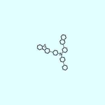 c1ccc(-c2ccc(N(c3ccc(-c4ccc5c(c4)sc4ccccc45)cc3)c3cccc(-c4ccc5ccccc5c4)c3)cc2)cc1